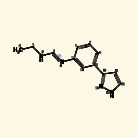 CCN/C=N/c1cccc(-c2cc[nH]n2)c1